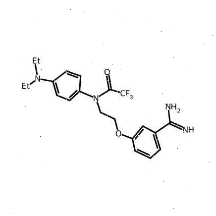 CCN(CC)c1ccc(N(CCOc2cccc(C(=N)N)c2)C(=O)C(F)(F)F)cc1